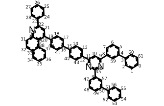 c1ccc(-c2cccc(-c3cc(-c4ccc(-c5ccc(-c6cc(-c7ccccc7)nc7ccc8ccccc8c67)cc5)cc4)nc(-c4cccc(-c5ccccc5)c4)n3)c2)cc1